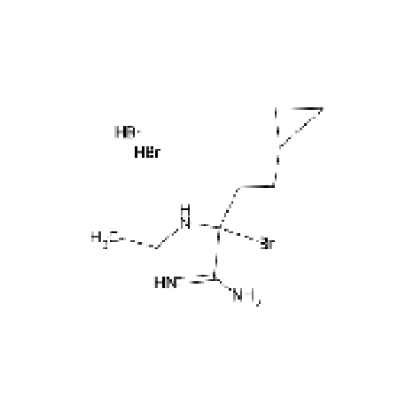 Br.Br.CCNC(Br)(CCC1CC1)C(=N)N